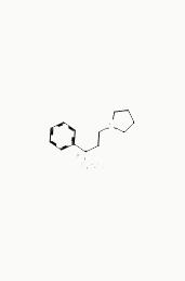 [CH2-][NH2+][C@@H](c1ccccc1)[C@@H](C)CN1CCCC1